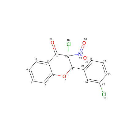 O=C1c2ccccc2OC(c2cccc(Cl)c2)C1(Cl)[N+](=O)[O-]